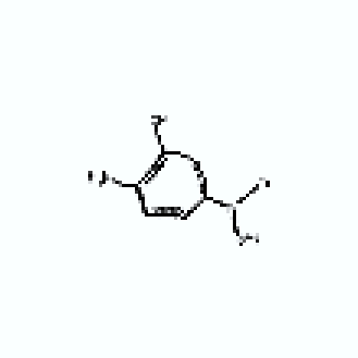 CCCN(CC)c1ccc(N)c(O)c1